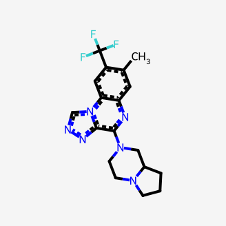 Cc1cc2nc(N3CCN4CCCC4C3)c3nncn3c2cc1C(F)(F)F